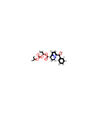 CCC(OC(=O)OC(C)C)OC(=O)[C@H]1CCn2c(C(=O)c3ccccc3)ccc21